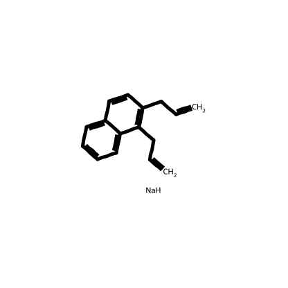 C=CCc1ccc2ccccc2c1CC=C.[NaH]